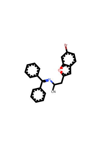 N#CC(Cc1cc2ccc(Br)cc2o1)N=C(c1ccccc1)c1ccccc1